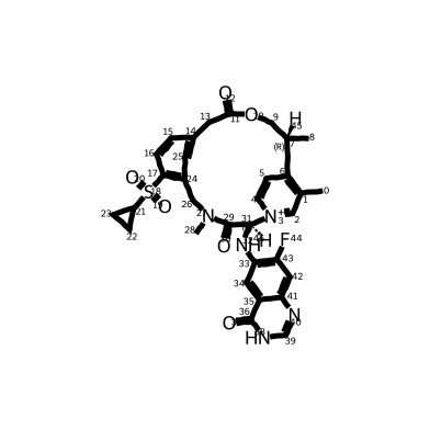 Cc1c[n+]2ccc1[C@@H](C)COC(=O)Cc1ccc(S(=O)(=O)C3CC3)c(c1)CN(C)C(=O)[C@@H]2Nc1cc2c(=O)[nH]cnc2cc1F